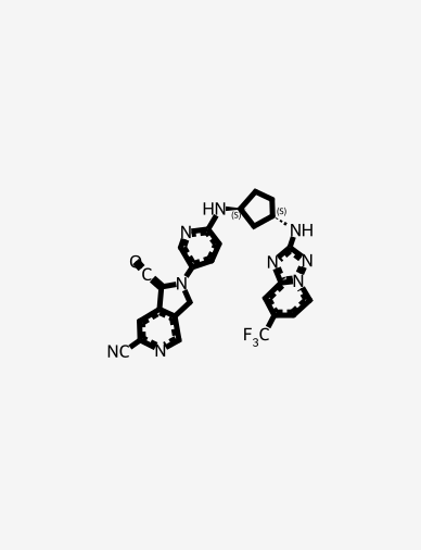 N#Cc1cc2c(cn1)CN(c1ccc(N[C@H]3CC[C@H](Nc4nc5cc(C(F)(F)F)ccn5n4)C3)nc1)C2=C=O